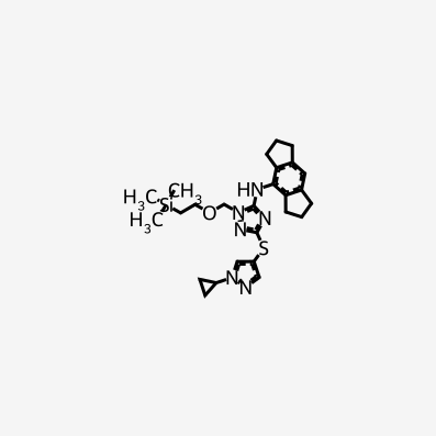 C[Si](C)(C)CCOCn1nc(Sc2cnn(C3CC3)c2)nc1Nc1c2c(cc3c1CCC3)CCC2